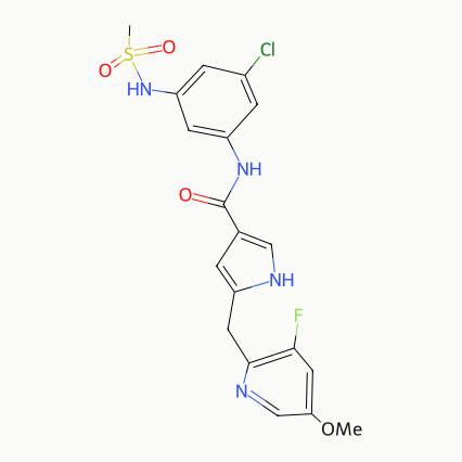 COc1cnc(Cc2cc(C(=O)Nc3cc(Cl)cc(NS(C)(=O)=O)c3)c[nH]2)c(F)c1